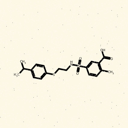 Cc1ccc(S(=O)(=O)NCCSc2ccc(C(C)C)cc2)cc1C(=O)O